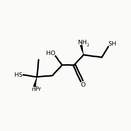 CCC[C@](C)(S)CC(O)C(=O)[C@@H](N)CS